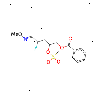 CON=CC(F)CC(COC(=O)c1ccccc1)OS(C)(=O)=O